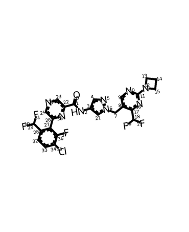 O=C(Nc1cnn(Cc2cnc(N3CCC3)nc2C(F)F)c1)c1cncc(-c2c(C(F)F)ccc(Cl)c2F)n1